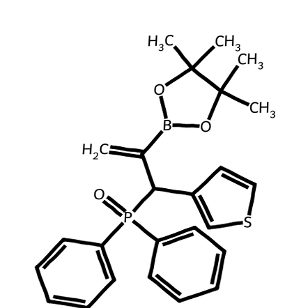 C=C(B1OC(C)(C)C(C)(C)O1)C(c1ccsc1)P(=O)(c1ccccc1)c1ccccc1